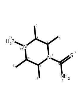 CC1C(C)N(C(N)=S)C(C)C(C)N1P